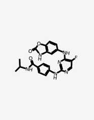 CC(C)NC(=O)c1ccc(Nc2ncc(F)c(Nc3ccc4oc(=O)[nH]c4c3)n2)cc1